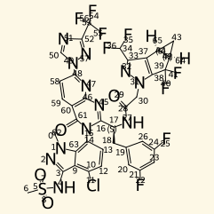 Cn1nc(NS(C)(=O)=O)c2c(Cl)ccc(-n3c([C@H](Cc4cc(F)cc(F)c4)NC(=O)Cn4nc(C(F)F)c5c4C(F)(F)[C@@H]4C[C@H]54)nc4nc(-n5cnc(C(F)(F)F)n5)ccc4c3=O)c21